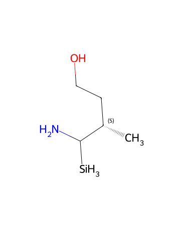 C[C@@H](CCO)C(N)[SiH3]